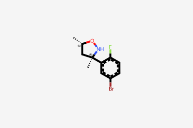 C[C@H]1C[C@](C)(c2cc(Br)ccc2F)NO1